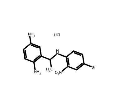 CC(Nc1ccc(Br)cc1[N+](=O)[O-])c1cc(N)ccc1N.Cl